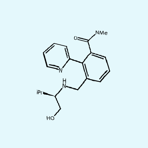 CNC(=O)c1cccc(CN[C@@H](CO)C(C)C)c1-c1ccccn1